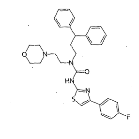 O=C(Nc1nc(-c2ccc(F)cc2)cs1)N(CCC(c1ccccc1)c1ccccc1)CCN1CCOCC1